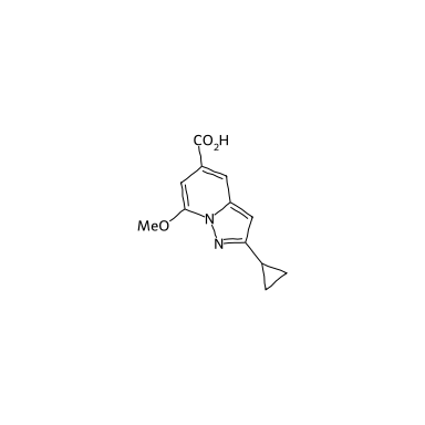 COc1cc(C(=O)O)cc2cc(C3CC3)nn12